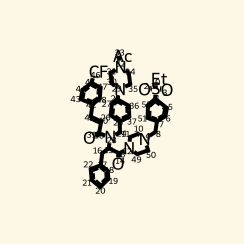 CCS(=O)(=O)c1ccc(CN2CCN(C(=O)C(Cc3ccccc3)N(Cc3ccc(N4CCN(C(C)=O)CC4)cc3)C(=O)C=Cc3ccc(C(F)(F)F)cc3)CC2)cc1